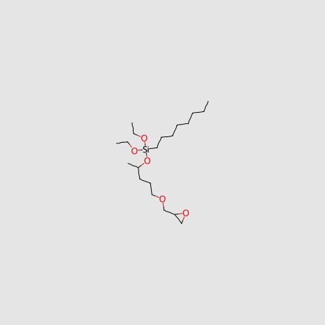 CCCCCCCC[Si](OCC)(OCC)OC(C)CCCOCC1CO1